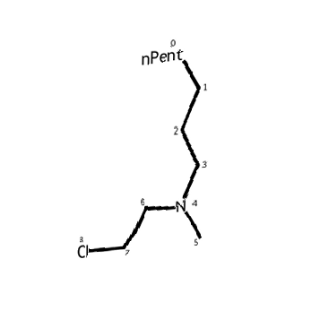 CCCCCCCCN(C)CCCl